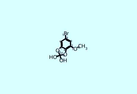 COc1cc(Br)cc2c1OC(O)(O)O2